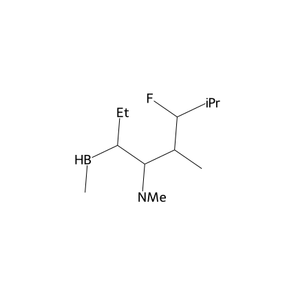 CBC(CC)C(NC)C(C)C(F)C(C)C